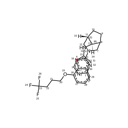 Cc1nccc(N2CC3CC[C@@H](C2)[C@@H]3Nc2nc3c(OCCCC(F)(F)F)cccn3n2)n1